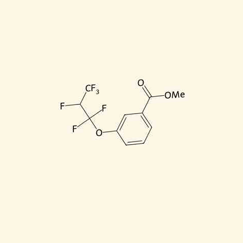 COC(=O)c1cccc(OC(F)(F)C(F)C(F)(F)F)c1